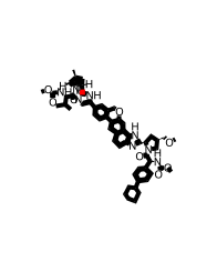 COC[C@H]1C[C@@H](c2nc3ccc4cc5c(cc4c3[nH]2)OCc2cc(-c3cnc([C@@H]4C6[C@@H]7[C@H](N4C(=O)[C@@H](NC(=O)OC)C(C)C)[C@]67C)[nH]3)ccc2-5)N(C(=O)[C@H](NC(=O)OC)c2ccc(C3CCCCC3)cc2)C1